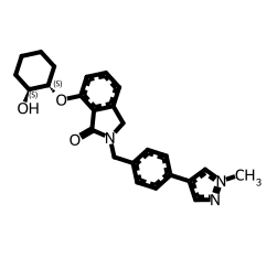 Cn1cc(-c2ccc(CN3Cc4cccc(O[C@H]5CCCC[C@@H]5O)c4C3=O)cc2)cn1